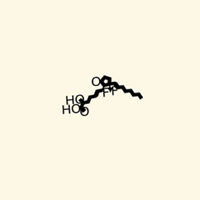 CCCCCCC=C[C@@]1([C](F)F)CCC(=O)[C@@H]1CC=CCCC(O)C(=O)O